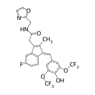 CC1=C(CC(=O)NCc2ncco2)c2cc(F)ccc2C1=Cc1cc(OC(F)(F)F)c(O)c(OC(F)(F)F)c1